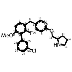 COc1ccc(Cc2ccc(OCC3CCCN3)nc2)c(F)c1-c1cccc(Cl)c1